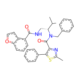 Cc1nc(C(=O)N(Cc2ccccc2)[C@H](CNC(=O)c2cccc3occc23)C(C)C)c(-c2ccccc2)s1